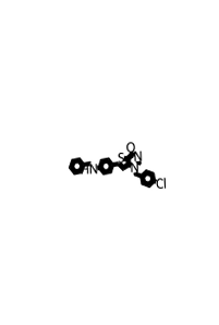 O=c1ncn(Cc2ccc(Cl)cc2)c2cc(-c3ccc(NCc4ccccc4)cc3)sc12